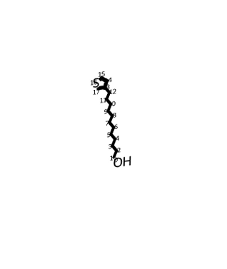 OCCCCCCCCCCCCc1ccsc1